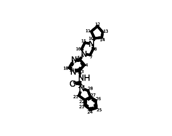 O=C(Nc1cc(N2CCN(C3CCCC3)CC2)ncn1)N1Cc2ccccc2C1